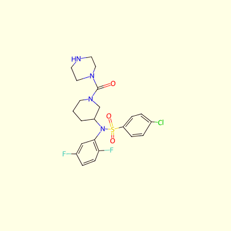 O=C(N1CCNCC1)N1CCCC(N(c2cc(F)ccc2F)S(=O)(=O)c2ccc(Cl)cc2)C1